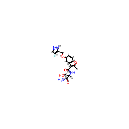 Cc1oc2ccc(OCc3c(F)cnn3C)cc2c1C(=O)N[C@@](C)(CO)C(N)=O